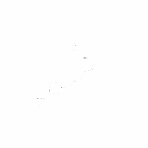 O=C(NCc1nc(C2CC2)n[nH]1)c1cc(OC(F)(F)F)cc(C2CC2)c1